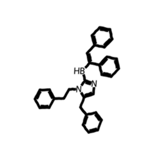 B(C(=Cc1ccccc1)c1ccccc1)c1ncc(Cc2ccccc2)n1CCc1ccccc1